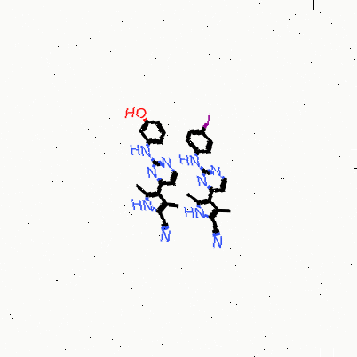 Cc1[nH]c(C#N)c(C)c1-c1ccnc(Nc2ccc(I)cc2)n1.Cc1[nH]c(C#N)c(C)c1-c1ccnc(Nc2cccc(O)c2)n1